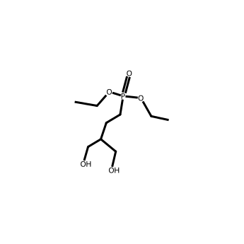 CCOP(=O)(CCC(CO)CO)OCC